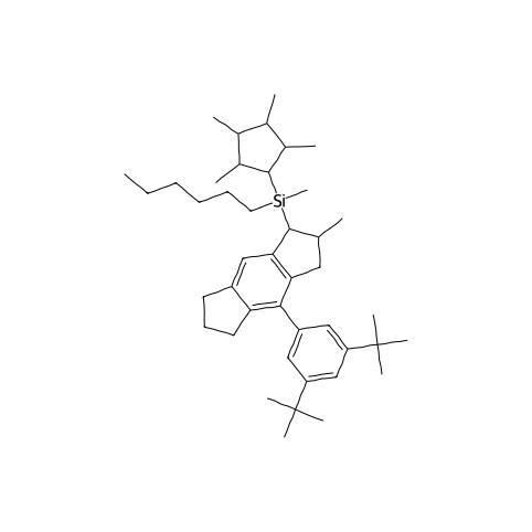 CCCCCC[Si](C)(C1c2cc3c(c(-c4cc(C(C)(C)C)cc(C(C)(C)C)c4)c2CC1C)CCC3)C1C(C)C(C)C(C)C1C